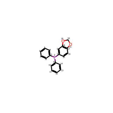 [c]1c(P(c2ccccc2)c2ccccc2)ccc2c1OCO2